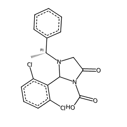 C[C@H](c1ccccc1)N1CC(=O)N(C(=O)O)C1c1c(Cl)cccc1Cl